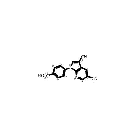 N#Cc1cnc2c(c1)c(C#N)cn2-c1ccc(C(=O)O)cc1